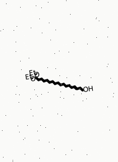 CCOC(CCCCCCCCCCCCC/C=C/CCO)OCC